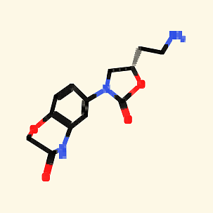 NCC[C@H]1CN(c2ccc3c(c2)NC(=O)CO3)C(=O)O1